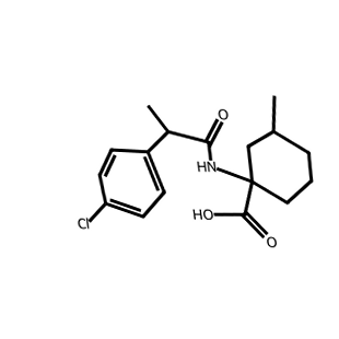 CC1CCCC(NC(=O)C(C)c2ccc(Cl)cc2)(C(=O)O)C1